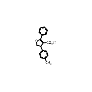 CCOC(=O)C1=C(c2ccccc2)OCC1c1ccc(C)cc1